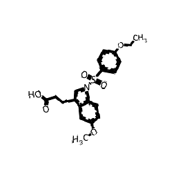 CCOc1ccc(S(=O)(=O)n2cc(CCC(=O)O)c3cc(OC)ccc32)cc1